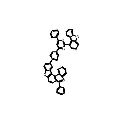 c1ccc(-c2cc(-c3ccc(-c4ccc5oc6ccc7c(-c8ccccc8)nc8ccccc8c7c6c5c4)cc3)nc(-c3cccc4oc5ccccc5c34)n2)cc1